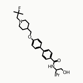 CC(C)C(CO)NC(=O)c1ccc(-c2ccc(OCC3CCN(CC(C)(C)F)CC3)cc2)cc1